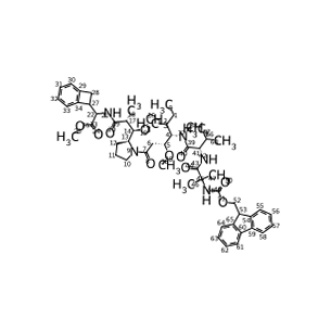 CC[C@H](C)[C@@H]([C@@H](CC(=O)N1CCC[C@H]1[C@H](OC)[C@@H](C)C(=O)NC(C(=O)OC)C1Cc2ccccc21)OC)N(C)C(=O)[C@@H](NC(=O)C(C)(C)NC(=O)OCC1c2ccccc2-c2ccccc21)C(C)C